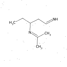 CCC(CC=N)N=C(C)C